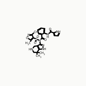 Cc1noc(C)c1S(=O)(=O)N(C(=O)c1ccccc1NC(=O)c1ccc[nH]1)c1n[nH]c2c1CNCC2(C)C